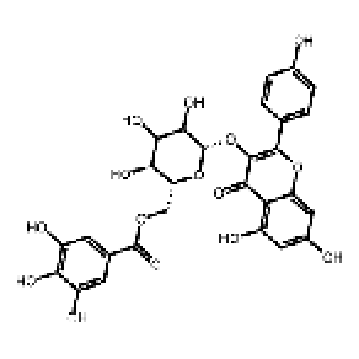 O=C(OC[C@H]1O[C@@H](Oc2c(-c3ccc(O)cc3)oc3cc(O)cc(O)c3c2=O)C(O)C(O)[C@@H]1O)c1cc(O)c(O)c(O)c1